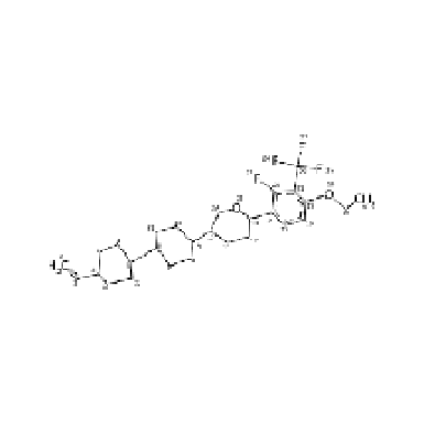 C=CC1CCC(C2CCC(C3CCC(c4ccc(OCC)c(C(F)(F)F)c4F)OC3)CC2)CC1